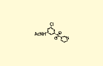 CC(=O)Nc1cc(Cl)cc(S(=O)(=O)c2cccnc2)c1